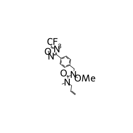 C=CCN(C)C(=O)N(Cc1ccc(-c2noc(C(F)(F)F)n2)cc1)OC